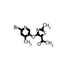 CC(=O)c1sc(C)nc1Oc1cnc(Br)cc1C